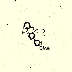 COc1ccc(-c2ccc3c(c2)N(C=O)Cc2cccnc2N3)cn1